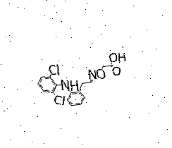 O=C(O)CON=CCc1ccccc1Nc1c(Cl)cccc1Cl